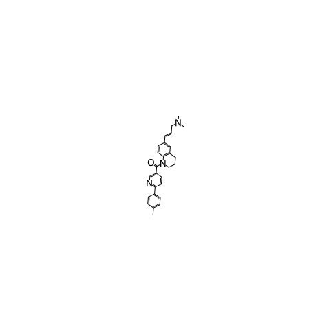 Cc1ccc(-c2ccc(C(=O)N3CCCc4cc(C=CCN(C)C)ccc43)cn2)cc1